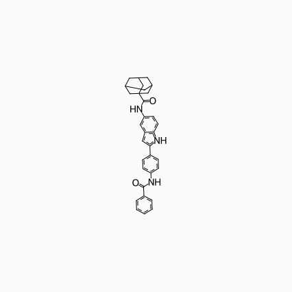 O=C(Nc1ccc(-c2cc3cc(NC(=O)C45CC6CC(CC(C6)C4)C5)ccc3[nH]2)cc1)c1ccccc1